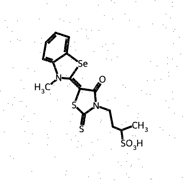 CC(CCN1C(=O)C(=C2[Se]c3ccccc3N2C)SC1=S)S(=O)(=O)O